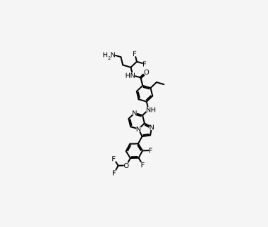 CCc1cc(Nc2nccn3c(-c4ccc(OC(F)F)c(F)c4F)cnc23)ccc1C(=O)NC(CCN)C(F)F